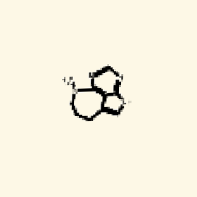 BN1CCCc2c[nH]c3ncnc1c23